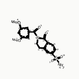 COc1cc(OC)cc(C(=O)N2CCc3cc(S(N)(=O)=O)ccc3C2=O)c1